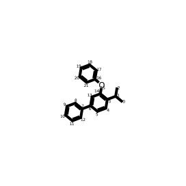 CC(C)c1ccc(-c2ccccc2)cc1Oc1ccccc1